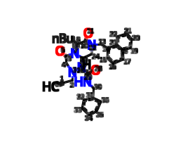 C#CCN1CC(=O)N2[C@@H](CCCC)C(=O)N(Cc3cccc4ccccc34)C[C@@H]2N1C(=O)NCc1ccccc1